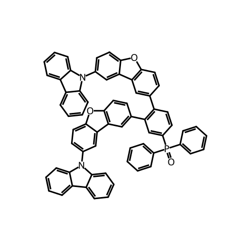 O=P(c1ccccc1)(c1ccccc1)c1ccc(-c2ccc3oc4ccc(-n5c6ccccc6c6ccccc65)cc4c3c2)c(-c2ccc3oc4ccc(-n5c6ccccc6c6ccccc65)cc4c3c2)c1